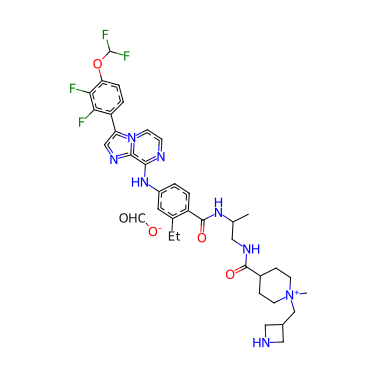 CCc1cc(Nc2nccn3c(-c4ccc(OC(F)F)c(F)c4F)cnc23)ccc1C(=O)NC(C)CNC(=O)C1CC[N+](C)(CC2CNC2)CC1.O=C[O-]